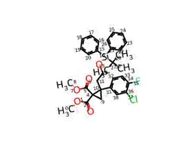 COC(=O)C1(C(=O)OC)CC1(CCO[Si](c1ccccc1)(c1ccccc1)C(C)(C)C)c1ccc(F)c(Cl)c1